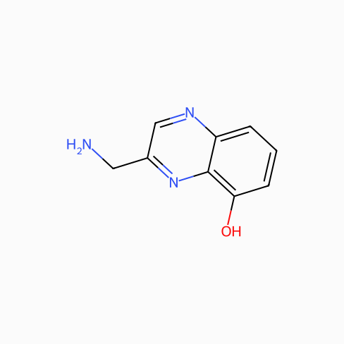 NCc1cnc2cccc(O)c2n1